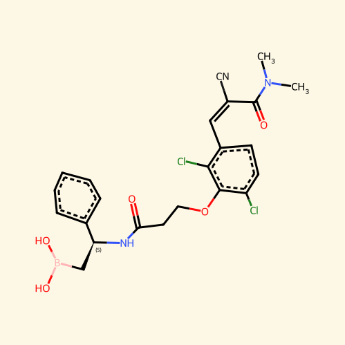 CN(C)C(=O)C(C#N)=Cc1ccc(Cl)c(OCCC(=O)N[C@@H](CB(O)O)c2ccccc2)c1Cl